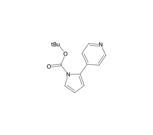 CC(C)(C)OC(=O)n1cccc1-c1ccncc1